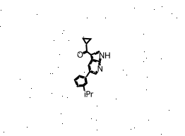 CC(C)c1cccc(-c2cnc3[nH]cc(C(=O)C4CC4)c3c2)c1